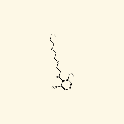 NCCOCCOCCNc1c([N+](=O)[O-])cccc1[N+](=O)[O-]